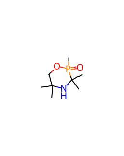 CC1(C)COP(C)(=O)C(C)(C)N1